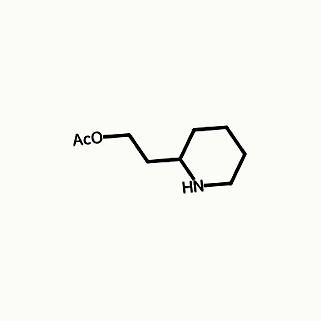 CC(=O)OCCC1CCCCN1